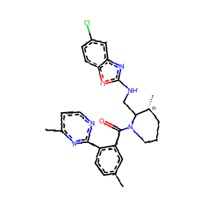 Cc1ccc(-c2nccc(C)n2)c(C(=O)N2CCC[C@@H](C)C2CNc2nc3cc(Cl)ccc3o2)c1